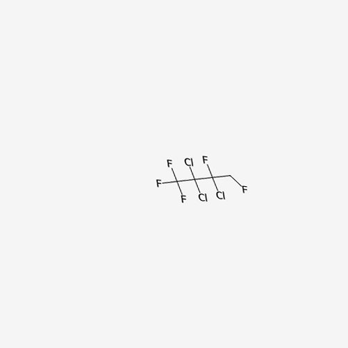 FCC(F)(Cl)C(Cl)(Cl)C(F)(F)F